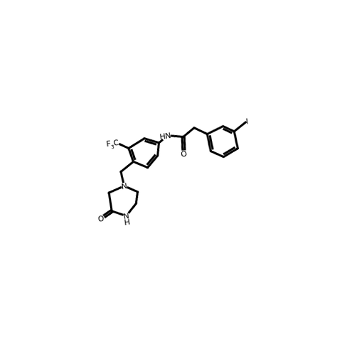 O=C1CN(Cc2ccc(NC(=O)Cc3cccc(I)c3)cc2C(F)(F)F)CCN1